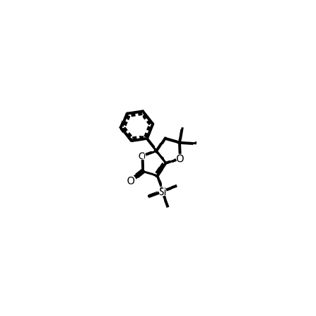 CC1(C)CC2(c3ccccc3)OC(=O)C([Si](C)(C)C)=C2O1